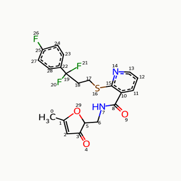 CC1=CC(=O)C(CNC(=O)c2cccnc2SCCC(F)(F)c2ccc(F)cc2)O1